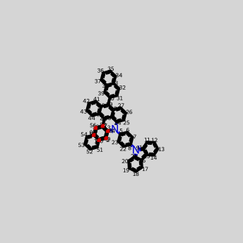 c1ccc(N(c2ccc(-n3c4ccccc4c4ccccc43)cc2)c2cccc3c(-c4ccc5ccccc5c4)c4ccccc4c(-c4ccc5ccccc5c4)c23)cc1